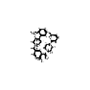 Cc1cccc(N2CCN(C(=O)c3cc(CN4CCC(c5ccccc5C#N)CC4)ccc3C)CC2)n1